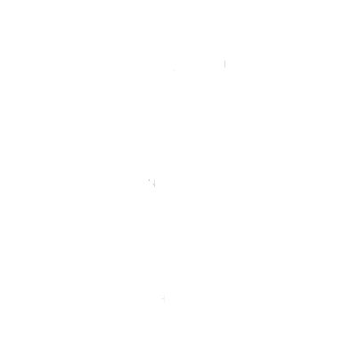 Oc1ccc(-c2csc(-c3ccc(OC(F)(F)F)cc3)n2)cc1